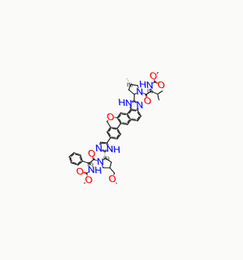 COCC1C[C@@H](c2ncc(-c3ccc4c(c3)COc3cc5c(ccc6nc(C7C[C@H](C)CN7C(=O)[C@@H](NC(=O)OC)C(C)C)[nH]c65)cc3-4)[nH]2)N(C(=O)[C@H](NC(=O)OC)c2ccccc2)C1